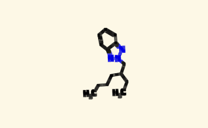 CCCCC(CC)Cn1nc2ccccc2n1